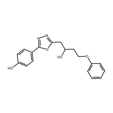 Oc1ccc(-c2nnc(CC(O)CCOc3ccccc3)o2)cc1